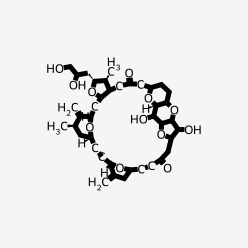 C=C1CC2CCC(=O)CC3OC4C(OC5CCC(CC(=O)CC6C(C[C@H]7O[C@@H](CC[C@@H]1O2)C[C@@H](C)C7=C)O[C@H](CC(O)CO)[C@@H]6C)O[C@@H]5C4O)C3O